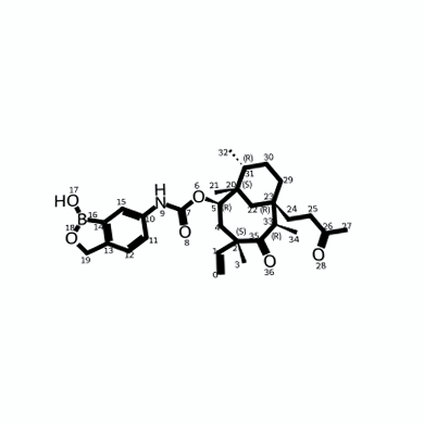 C=C[C@]1(C)C[C@@H](OC(=O)Nc2ccc3c(c2)B(O)OC3)[C@@]2(C)C[C@](CCC(C)=O)(CC[C@H]2C)[C@@H](C)C1=O